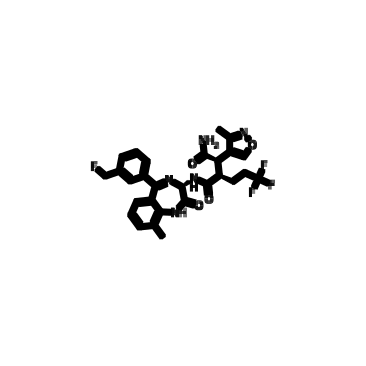 Cc1cccc2c1NC(=O)[C@@H](NC(=O)[C@H](CCC(F)(F)F)[C@@H](C(N)=O)c1conc1C)N=C2c1cccc(CF)c1